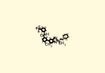 Cc1ccc(C(=O)Nc2cccc(C(F)(F)F)c2)cc1-c1ccc2nc(N(C)CCN3CCCCC3)ncc2c1